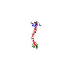 CC(C)(C)OC(=O)NCCOCCOCCOCCOCCOCCOCCC(=O)Oc1c(F)c(F)c(F)c(F)c1F